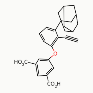 C#Cc1c(Oc2cc(C(=O)O)cc(C(=O)O)c2)cccc1C12CC3CC(CC(C3)C1)C2